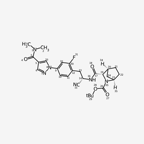 CN(C)C(=O)c1cnn(-c2ccc(C[C@@H](C#N)NC(=O)[C@@H]3[C@H]4CC[C@H](C4)N3C(=O)OC(C)(C)C)c(F)c2)c1